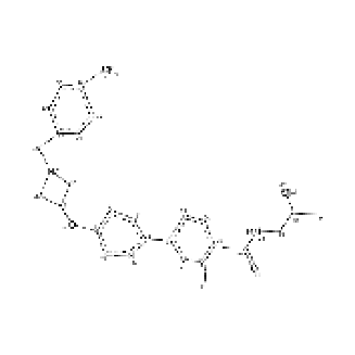 Cc1cc(-c2ccc(OC3CN(Cc4ccc(C(F)(F)F)cc4)C3)cn2)ccc1C(=O)NCC(C)O